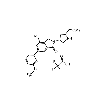 COC[C@@H]1C[C@@H](N2Cc3c(C#N)cc(-c4cccc(OC(F)(F)F)c4)cc3C2=O)CN1.O=C(O)C(F)(F)F